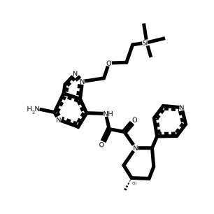 C[C@H]1CCC(c2ccncc2)N(C(=O)C(=O)Nc2cnc(N)c3cnn(COCC[Si](C)(C)C)c23)C1